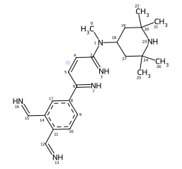 CN(C(=N)/C=C\C(=N)c1ccc(C=N)c(C=N)c1)C1CC(C)(C)NC(C)(C)C1